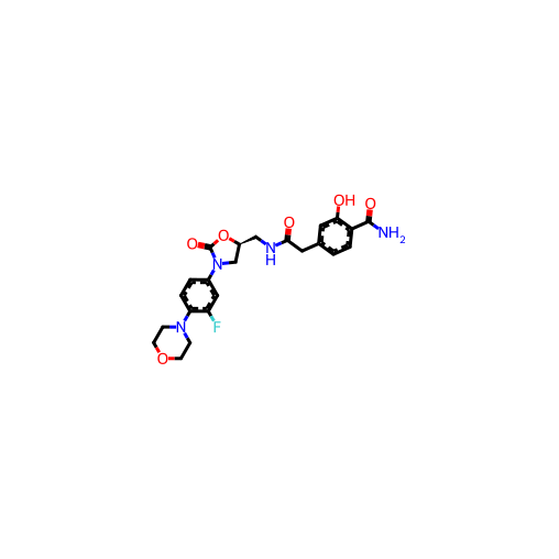 NC(=O)c1ccc(CC(=O)NC[C@H]2CN(c3ccc(N4CCOCC4)c(F)c3)C(=O)O2)cc1O